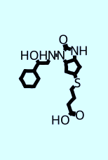 O=C(O)CCCSC1CC2NC(=O)N(NCC(O)C3CCCCC3)C2C1